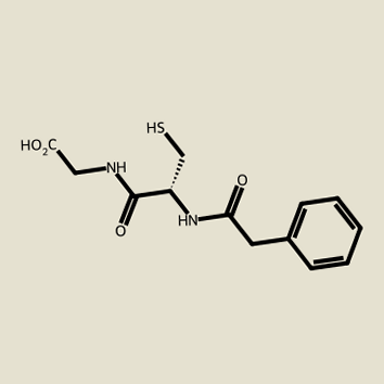 O=C(O)CNC(=O)[C@H](CS)NC(=O)Cc1ccccc1